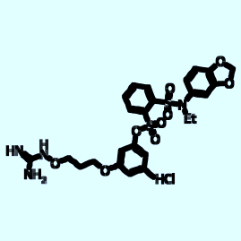 CCN(c1ccc2c(c1)OCO2)S(=O)(=O)c1ccccc1S(=O)(=O)Oc1cc(C)cc(OCCCONC(=N)N)c1.Cl